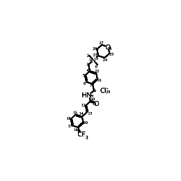 C[N+](C)(Cc1ccc(CNC(=O)C=Cc2cccc(C(F)(F)F)c2)cc1)C1CCOCC1.[Cl-]